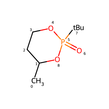 CC1CCOP(=O)(C(C)(C)C)O1